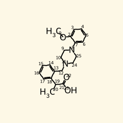 COc1ccccc1N1CCN(Cc2ccccc2C(C)C(=O)O)CC1